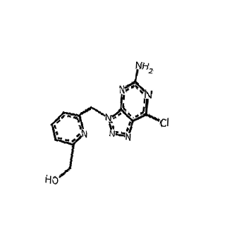 Nc1nc(Cl)c2nnn(Cc3cccc(CO)n3)c2n1